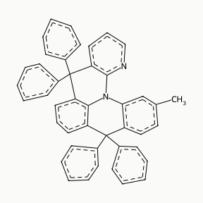 Cc1ccc2c(c1)N1c3ncccc3C(c3ccccc3)(c3ccccc3)c3cccc(c31)C2(c1ccccc1)c1ccccc1